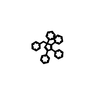 [C]1=C(c2ccccc2)C(c2ccccc2)=C(c2ccccc2)C1(Cc1ccccc1)c1ccccc1